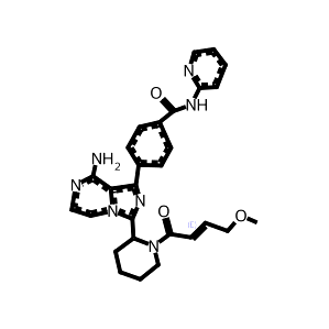 COC/C=C/C(=O)N1CCCCC1c1nc(-c2ccc(C(=O)Nc3ccccn3)cc2)c2c(N)nccn12